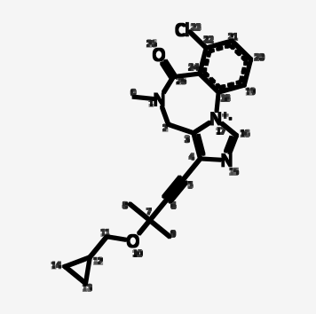 CN1CC2=C(C#CC(C)(C)OCC3CC3)N=C[N+]2c2cccc(Cl)c2C1=O